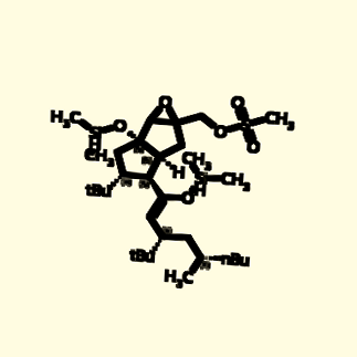 CCCC[C@H](C)C[C@@H](C=C(O[SiH](C)C)[C@H]1[C@H](C(C)(C)C)C[C@@]2(O[SiH](C)C)C3OC3(COS(C)(=O)=O)C[C@@H]12)C(C)(C)C